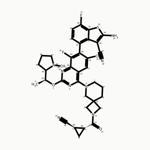 C[C@H](Oc1nc(N2CCCC3(CN(C(=O)[C@@H]4C[C@H]4C#N)C3)C2)c2cc(Cl)c(-c3ccc(F)c4sc(N)c(C#N)c34)c(F)c2n1)C1CCCN1C